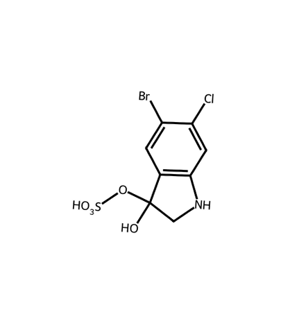 O=S(=O)(O)OC1(O)CNc2cc(Cl)c(Br)cc21